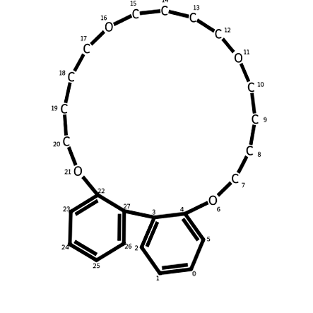 c1ccc2c(c1)OCCCCOCCCCOCCCCOc1ccccc1-2